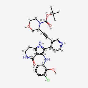 COc1c(Cl)cccc1Nc1c(-c2ccncc2C#CC2COCCN2C(=O)OC(C)(C)C)[nH]c2c1C(=O)NCC2